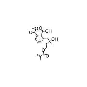 C=C(C)C(=O)OCCC(C)(O)Cc1cccc(C(=O)O)c1C(=O)O